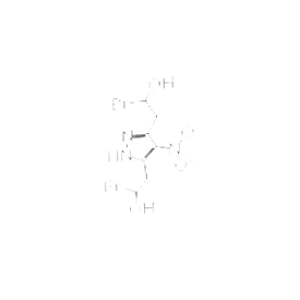 O=[N+]([O-])c1c(CC(O)Br)n[nH]c1CC(O)Br